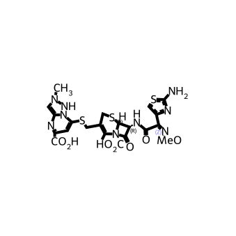 CO/N=C(\C(=O)N[C@@H]1C(=O)N2C(C(=O)O)=C(CSC3=CC(C(=O)O)=NC4=CN(C)NN43)CS[C@H]12)c1csc(N)n1